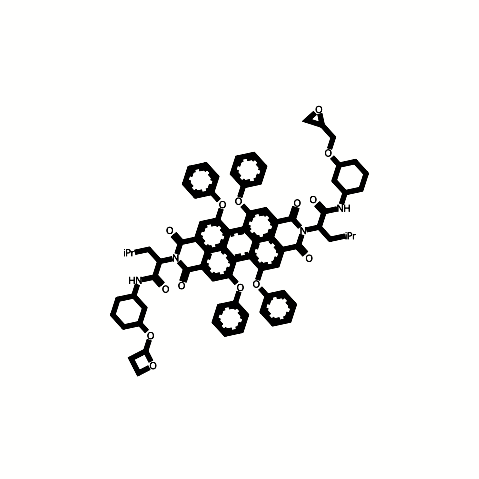 CC(C)CC(C(=O)NC1CCCC(OCC2CO2)C1)N1C(=O)c2cc(Oc3ccccc3)c3c4c(Oc5ccccc5)cc5c6c(cc(Oc7ccccc7)c(c7c(Oc8ccccc8)cc(c2c37)C1=O)c64)C(=O)N(C(CC(C)C)C(=O)NC1CCCC(OC2CCO2)C1)C5=O